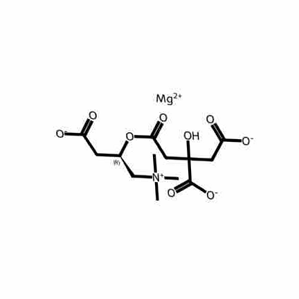 C[N+](C)(C)C[C@@H](CC(=O)[O-])OC(=O)CC(O)(CC(=O)[O-])C(=O)[O-].[Mg+2]